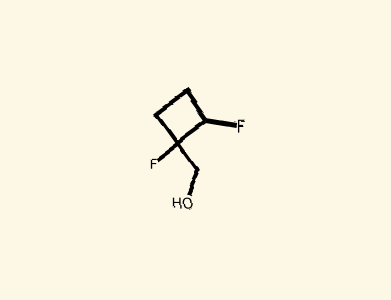 OCC1(F)CCC1F